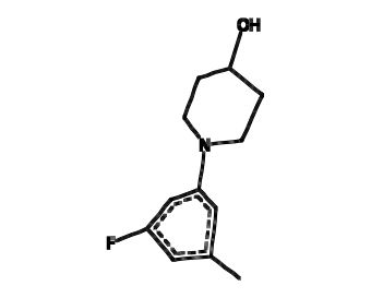 Cc1cc(F)cc(N2CCC(O)CC2)c1